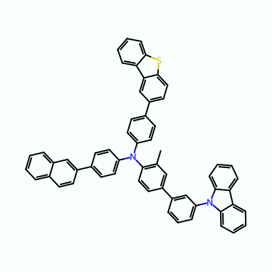 Cc1cc(-c2cccc(-n3c4ccccc4c4ccccc43)c2)ccc1N(c1ccc(-c2ccc3ccccc3c2)cc1)c1ccc(-c2ccc3sc4ccccc4c3c2)cc1